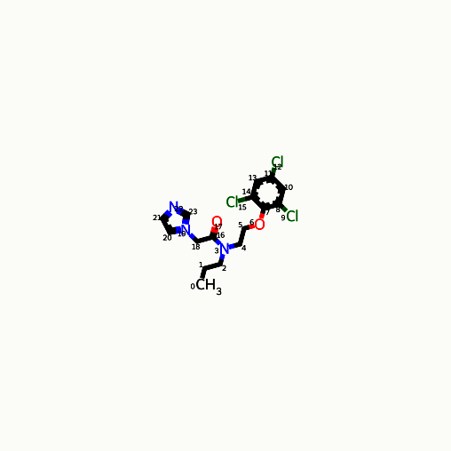 CCCN(CCOc1c(Cl)cc(Cl)cc1Cl)C(=O)Cn1ccnc1